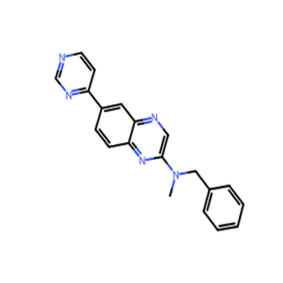 CN(Cc1ccccc1)c1cnc2cc(-c3ccncn3)ccc2n1